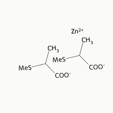 CSC(C)C(=O)[O-].CSC(C)C(=O)[O-].[Zn+2]